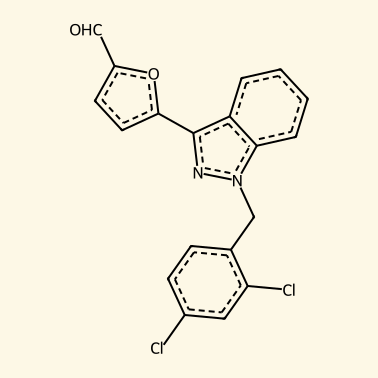 O=Cc1ccc(-c2nn(Cc3ccc(Cl)cc3Cl)c3ccccc23)o1